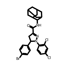 O=C(NC1C2CC3CC(C2)CC1C3)C1=NN(c2ccc(Cl)cc2Cl)C(c2ccc(Br)cc2)C1